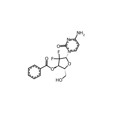 Nc1ccn([C@@H]2O[C@H](CO)[C@@H](OC(=O)c3ccccc3)C2(F)F)c(=O)n1